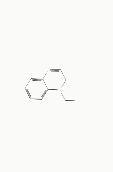 O=C(O)CN1CC=Nc2ccccc21